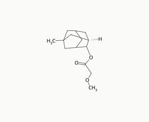 COCC(=O)OC1C2CC3C[C@@H]1CC(C)(C3)C2